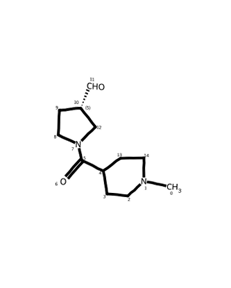 CN1CCC(C(=O)N2CC[C@H](C=O)C2)CC1